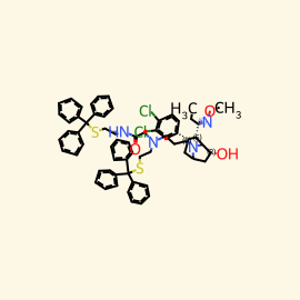 CC/C(=N\OC)[C@@H]1C2[C@H](O)CC(C[C@@H]1c1ccc(Cl)c(Cl)c1)N2CCCN(CCSC(c1ccccc1)(c1ccccc1)c1ccccc1)CC(=O)NCCSC(c1ccccc1)(c1ccccc1)c1ccccc1